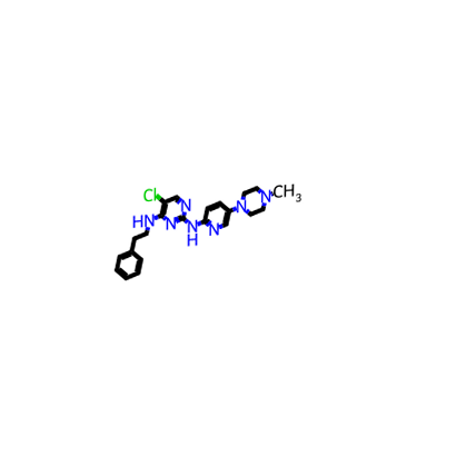 CN1CCN(c2ccc(Nc3ncc(Cl)c(NCCc4ccccc4)n3)nc2)CC1